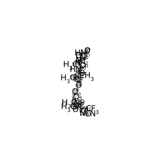 C[C@@H]1C[C@H](OCCO[C@H]2CC[C@H](N3C(=S)N(c4cnc(C#N)c(C(F)(F)F)c4)C(=O)C3(C)C)CC2)C[C@H](C)N1CC(=O)Nc1cccc2c(N3CCC(=O)NC3=O)nn(C)c12